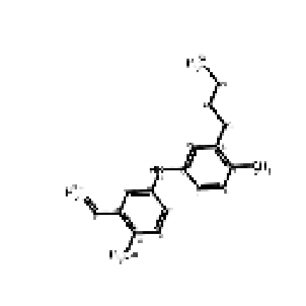 C=Cc1cc(Nc2ccc(C)c(CCCC)c2)ccc1C